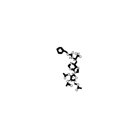 CC(=O)OC[C@H]1O[C@@H](n2cnc3c(C[C@@H](NC(=O)OCc4ccccc4)C(=O)O)ncnc32)[C@H](OC(C)=O)[C@@H]1OC(C)=O